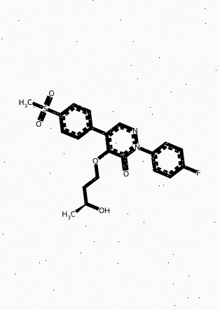 C[C@H](O)CCOc1c(-c2ccc(S(C)(=O)=O)cc2)cnn(-c2ccc(F)cc2)c1=O